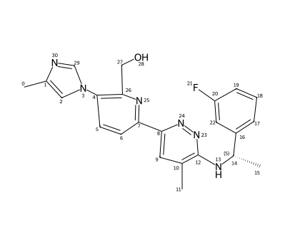 Cc1cn(-c2ccc(-c3cc(C)c(N[C@@H](C)c4cccc(F)c4)nn3)nc2CO)cn1